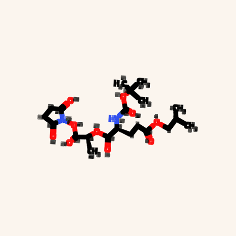 CC(C)COC(=O)CC[C@H](NC(=O)OC(C)(C)C)C(=O)O[C@@H](C)C(=O)ON1C(=O)CCC1=O